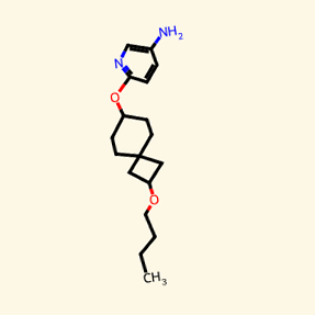 CCCCOC1CC2(CCC(Oc3ccc(N)cn3)CC2)C1